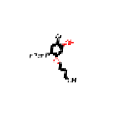 CCCCCc1cc(C(C)=O)c(O)cc1OCCCCC#N